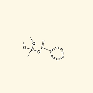 C=C(O[Si](C)(OC)OC)c1ccccc1